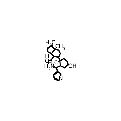 C=C1CCC2C(CO)C(C3(C)CCC(O)CC3C(N)c3cccnc3)CCC12C